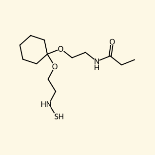 CCC(=O)NCCOC1(OCCNS)CCCCC1